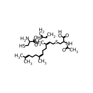 C=CC(=C)C.CC(=O)NC(CSCC=C(C)CCC=C(C)CCC=C(C)C)C(=O)O.NC(CS)C(=O)O